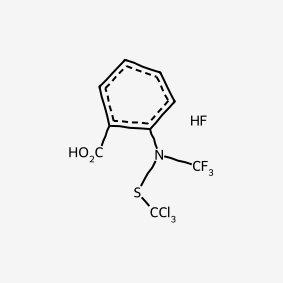 F.O=C(O)c1ccccc1N(SC(Cl)(Cl)Cl)C(F)(F)F